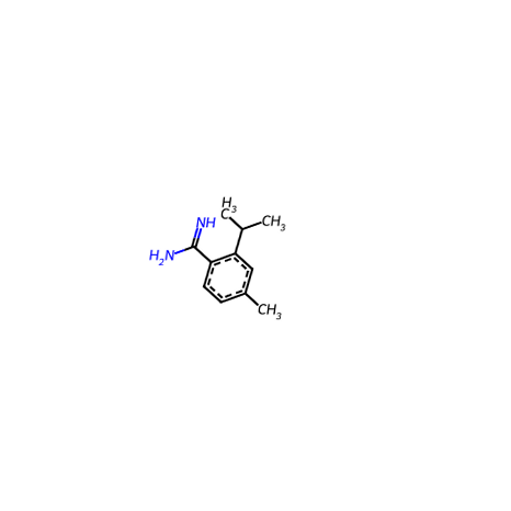 Cc1ccc(C(=N)N)c(C(C)C)c1